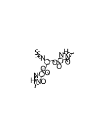 C=C1C[C@H]2C=Nc3cc(OCC4=CC(N(C)C[C@H](C)SSC)CC(COc5cc6c(cc5OC)C(=O)N5CC(=C)C[C@H]5C=N6)=C4)c(OC)cc3C(=O)N2C1